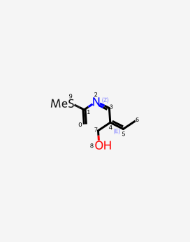 C=C(/N=C\C(=C/C)CO)SC